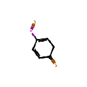 S=PC1=CCC(=S)C=C1